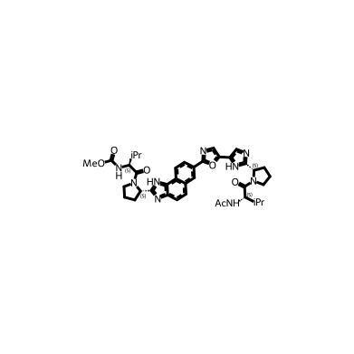 COC(=O)N[C@H](C(=O)N1CCC[C@H]1c1nc2ccc3cc(-c4ncc(-c5cnc([C@@H]6CCCN6C(=O)[C@@H](NC(C)=O)C(C)C)[nH]5)o4)ccc3c2[nH]1)C(C)C